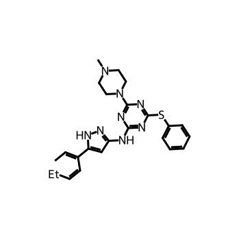 C/C=C(\C=C/CC)c1cc(Nc2nc(Sc3ccccc3)nc(N3CCN(C)CC3)n2)n[nH]1